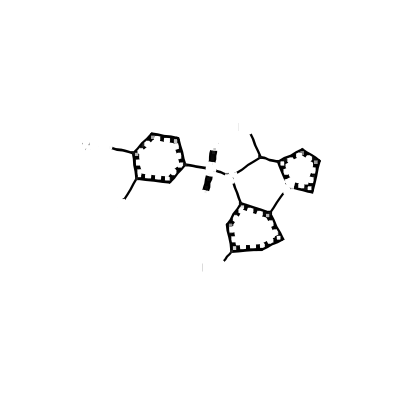 CCC1c2cccn2-c2ccc(C(F)(F)F)cc2N1S(=O)(=O)c1ccc(OC)c(Cl)c1